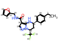 CCc1ccc([C@H]2C[C@@H](C(F)(F)F)n3ncc(C(=O)NCc4ccco4)c3N2)cc1